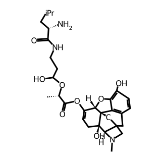 CC(C)C[C@H](N)C(=O)NCCC(O)O[C@@H](C)C(=O)OC1=CC[C@@]2(O)[C@@H]3N(C)CC34Cc3ccc(O)c5c3[C@@]2(C4)[C@H]1O5